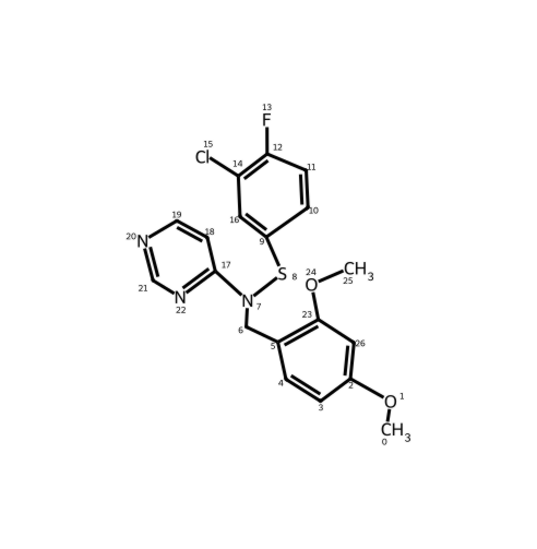 COc1ccc(CN(Sc2ccc(F)c(Cl)c2)c2ccncn2)c(OC)c1